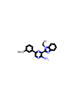 COc1cccc(-c2cnc(N)c(-c3nc4ccccc4n3CC(C)C)n2)c1